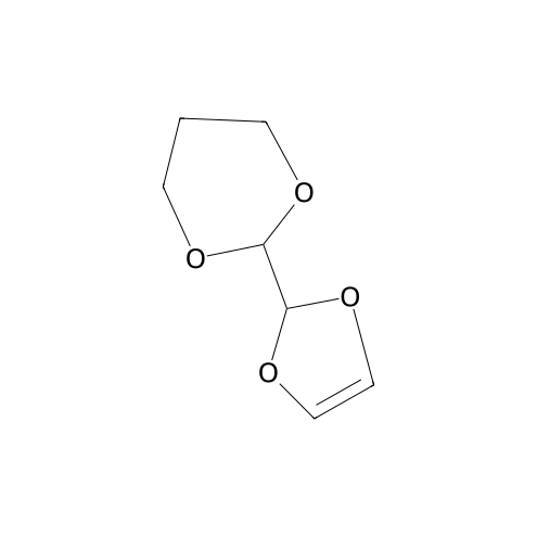 C1=COC(C2OCCCO2)O1